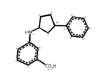 O=C(O)c1cccc(NC2CCC(c3ccccc3)C2)c1